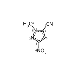 Cn1nc([N+](=O)[O-])cc1C#N